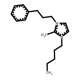 CCCCCn1cc[n+](CCCc2ccccc2)c1C